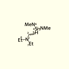 CCN(C=C[SiH](NC)NC)CC